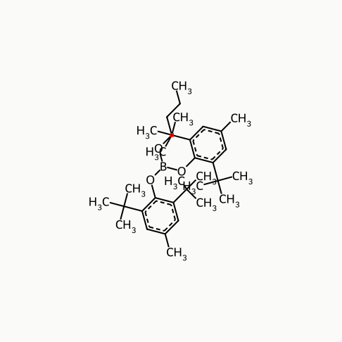 CCCCOB(Oc1c(C(C)(C)C)cc(C)cc1C(C)(C)C)Oc1c(C(C)(C)C)cc(C)cc1C(C)(C)C